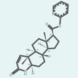 C[C@]12C=CC(=O)N[C@@H]1CC[C@@H]1[C@@H]2CC[C@]2(C)[C@@H](C(=O)Oc3ccccn3)CC[C@@H]12